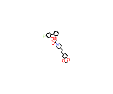 O=C(COc1ccccc1-c1ccc(F)cc1O)N1CCC(CCc2ccc3c(c2)OCCO3)CC1